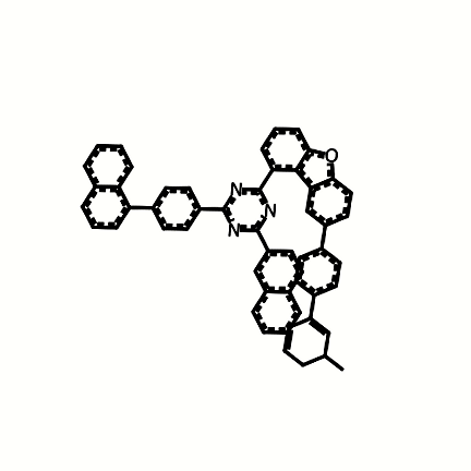 CC1C=C(c2ccc(-c3ccc4oc5cccc(-c6nc(-c7ccc(-c8cccc9ccccc89)cc7)nc(-c7ccc8ccccc8c7)n6)c5c4c3)cc2)C=CC1